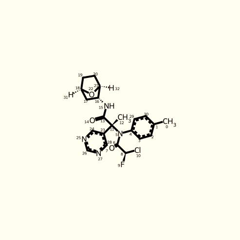 Cc1ccc(N(C(=O)[C@H](F)Cl)[C@@](C)(C(=O)N[C@@H]2C[C@H]3CC[C@@H]2O3)c2cncnc2)cc1